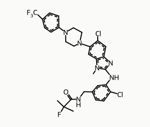 Cn1c(Nc2cc(CNC(=O)C(C)(C)F)ccc2Cl)nc2cc(Cl)c(N3CCN(c4ccc(C(F)(F)F)cc4)CC3)cc21